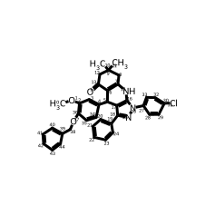 COc1cc(C2C3=C(CC(C)(C)CC3=O)Nc3c2c(-c2ccccc2)nn3-c2ccc(Cl)cc2)ccc1OCc1ccccc1